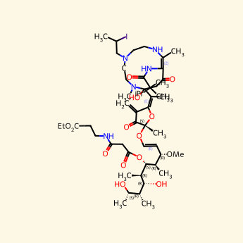 C=C1C(=O)[C@@](C)(O/C=C/[C@H](OC)[C@@H](C)[C@@H](OC(=O)CC(=O)NCCC(=O)OCC)[C@H](C)[C@H](O)[C@H](C)[C@H](C)O)O/C1=C(\C)C1(O)CC(=O)/C(NC(=O)C(C)(C)C(C)C)=C(\C)NCCN(CC(C)I)CCN1C